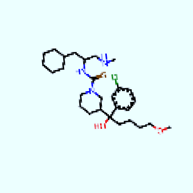 CNCC(CC1CCCCC1)NC(=S)N1CCCC(C(O)(CCCCOC)c2cccc(Cl)c2)C1